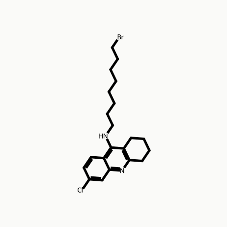 Clc1ccc2c(NCCCCCCCCBr)c3c(nc2c1)CCCC3